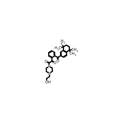 CC1(C)CCC(C)(C)c2cc(C(=O)c3ccccc3C(=O)C(=O)N3CCN(CCO)CC3)ccc21